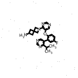 CC(C)c1ncncc1-c1cc(F)ccc1Oc1cncnc1N1CC2(CC(N)C2)C1